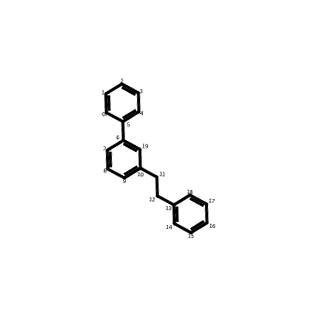 [c]1ccccc1-c1[c]ccc(CCc2ccccc2)c1